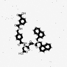 O=C(O)CN(NC(=O)c1ccc(CNC(=O)c2cccc(C(=O)O)c2)cc1)C(=O)[C@H]1O[C@@H]1C(=O)N(Cc1cccc2ccccc12)Cc1cccc2ccccc12